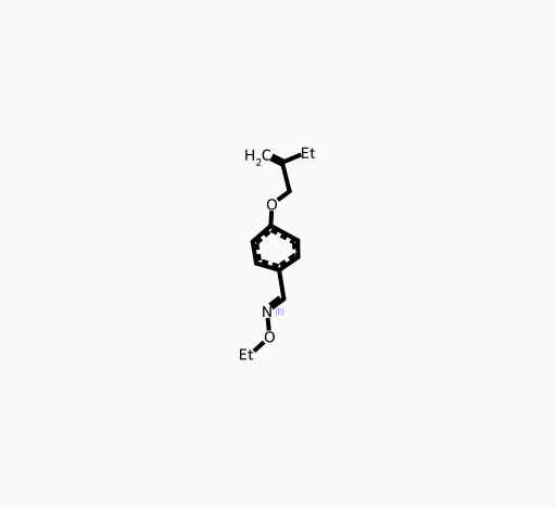 C=C(CC)COc1ccc(/C=N/OCC)cc1